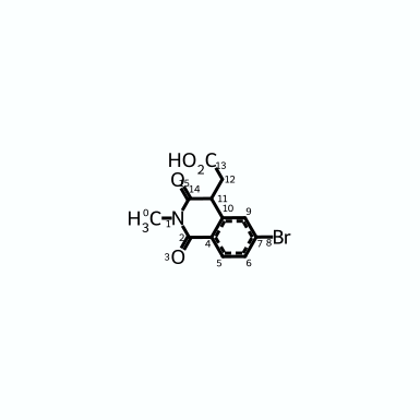 CN1C(=O)c2ccc(Br)cc2C(CC(=O)O)C1=O